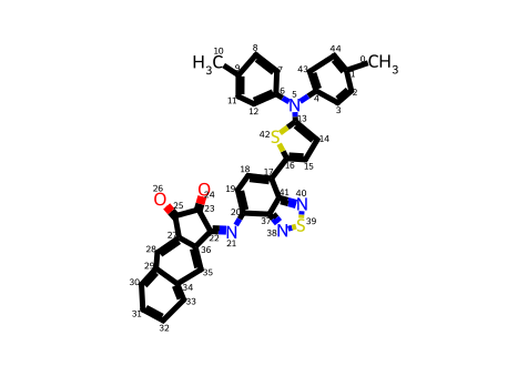 Cc1ccc(N(c2ccc(C)cc2)c2ccc(-c3ccc(/N=c4\c(=O)c(=O)c5cc6ccccc6cc45)c4nsnc34)s2)cc1